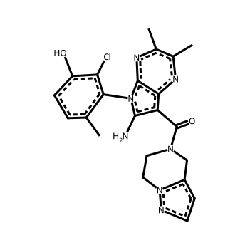 Cc1ccc(O)c(Cl)c1-n1c(N)c(C(=O)N2CCn3nccc3C2)c2nc(C)c(C)nc21